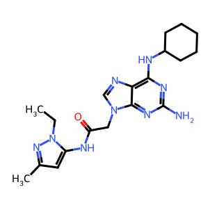 CCn1nc(C)cc1NC(=O)Cn1cnc2c(NC3CCCCC3)nc(N)nc21